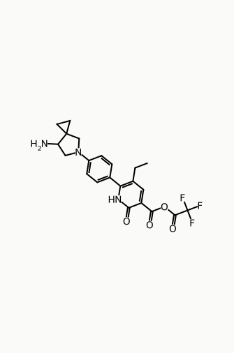 CCc1cc(C(=O)OC(=O)C(F)(F)F)c(=O)[nH]c1-c1ccc(N2CC(N)C3(CC3)C2)cc1